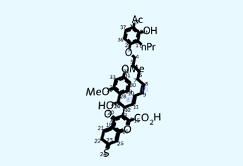 CCCc1c(OCCCC/C=C\C=C\[C@@H](c2c(C(=O)O)oc3c(c2=O)=CCC(=S)C=3)[C@@H](O)c2ccc(OC)cc2OC)ccc(C(C)=O)c1O